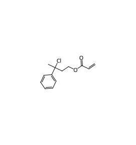 C=CC(=O)OCCC(C)(Cl)c1ccccc1